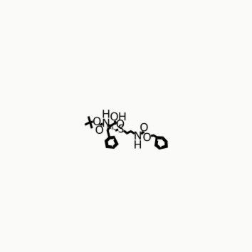 CC(C)(C)OC(=O)N[C@](CSCCNC(=O)OCc1ccccc1)(Cc1ccccc1)C(=O)O